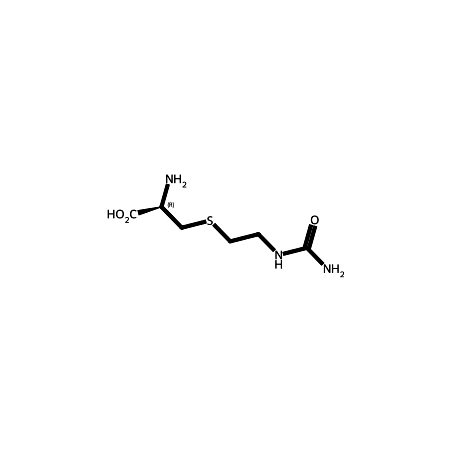 NC(=O)NCCSC[C@H](N)C(=O)O